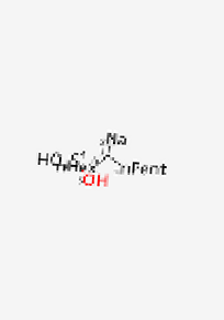 CCCCCC[CH]([Na])CCCCC.O=S(=O)(O)O